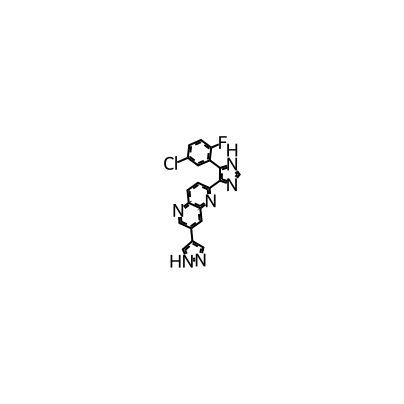 Fc1ccc(Cl)cc1-c1[nH]cnc1-c1ccc2ncc(-c3cn[nH]c3)cc2n1